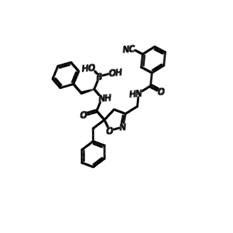 N#Cc1cccc(C(=O)NCC2=NOC(Cc3ccccc3)(C(=O)N[C@@H](Cc3ccccc3)B(O)O)C2)c1